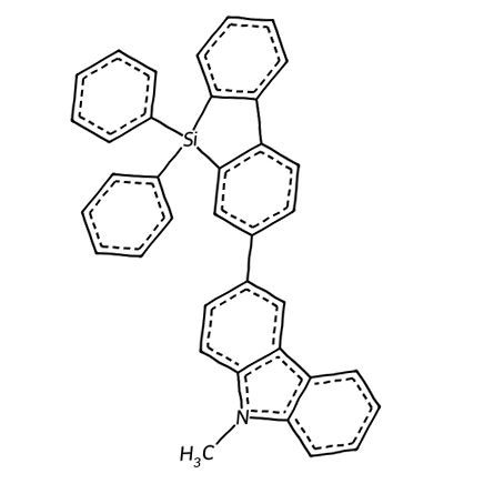 Cn1c2ccccc2c2cc(-c3ccc4c(c3)[Si](c3ccccc3)(c3ccccc3)c3ccccc3-4)ccc21